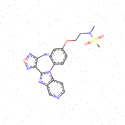 CN(CCOc1ccc(-n2c(-c3nonc3N)nc3cnccc32)cc1)S(C)(=O)=O